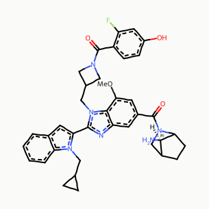 COc1cc(C(=O)N2CC3CCC2[C@@H]3N)cc2nc(-c3cc4ccccc4n3CC3CC3)n(CC3CN(C(=O)c4ccc(O)cc4F)C3)c12